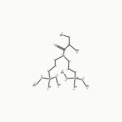 CC(C)CC(C(=O)N(CCC[Si](OC(C)C)(OC(C)C)C(C)C)CCC[Si](OC(C)C)(OC(C)C)C(C)C)C(C)C